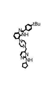 CC(C)(C)c1ccc(-c2nc3cccc(N4CCN(Cc5ccnc(NC6CCCC6)n5)CC4)c3[nH]2)cc1